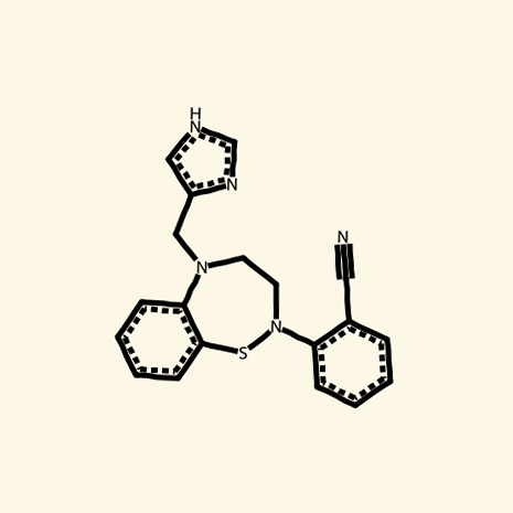 N#Cc1ccccc1N1CCN(Cc2c[nH]cn2)c2ccccc2S1